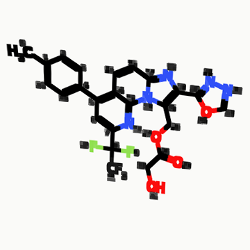 Cc1ccc(-c2cc(C(F)(F)C(F)(F)F)nc3c2ccc2nc(-c4nnco4)c(COC(=O)CO)n23)cc1